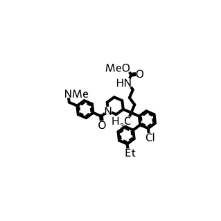 CCc1cccc(-c2c(Cl)cccc2C(C)(CCCNC(=O)OC)C2CCCN(C(=O)c3ccc(CNC)cc3)C2)c1